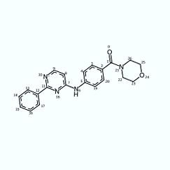 O=C(c1ccc(Nc2ccnc(-c3ccccc3)n2)cc1)N1CCOCC1